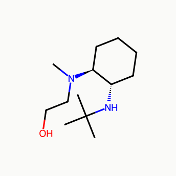 CN(CCO)[C@H]1CCCC[C@@H]1NC(C)(C)C